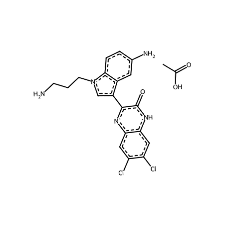 CC(=O)O.NCCCn1cc(-c2nc3cc(Cl)c(Cl)cc3[nH]c2=O)c2cc(N)ccc21